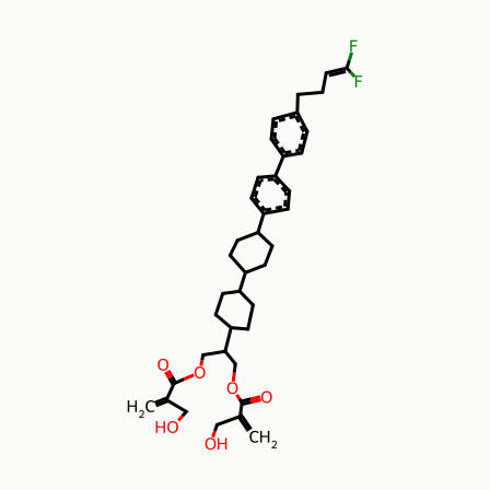 C=C(CO)C(=O)OCC(COC(=O)C(=C)CO)C1CCC(C2CCC(c3ccc(-c4ccc(CCC=C(F)F)cc4)cc3)CC2)CC1